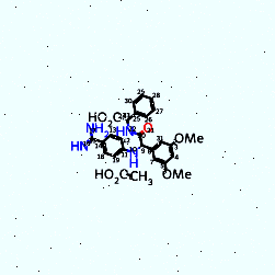 CC(=O)O.COc1cc(OC)cc([C@H](Nc2ccc(C(=N)N)cc2)C(=O)N[C@H](C(=O)O)c2ccccc2)c1